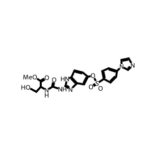 COC(=O)C(CO)NC(=O)Nc1nc2cc(OS(=O)(=O)c3ccc(-n4ccnc4)cc3)ccc2[nH]1